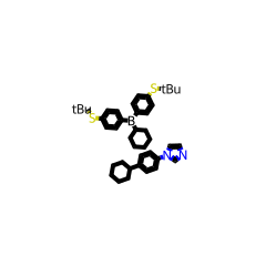 CC(C)(C)Sc1ccc(B(c2ccc(SC(C)(C)C)cc2)C2CCCCC2)cc1.c1cn(-c2ccc(C3CCCCC3)cc2)cn1